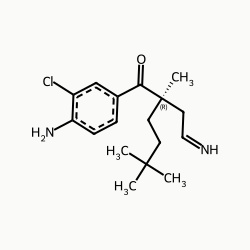 CC(C)(C)CC[C@](C)(CC=N)C(=O)c1ccc(N)c(Cl)c1